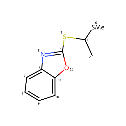 CSC(C)Sc1nc2ccccc2o1